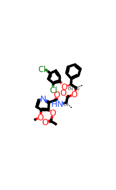 COc1ccnc(C(=O)N[C@@H](C)C(=O)O[C@@H](C)[C@@H](Oc2ccc(Cl)cc2Cl)c2ccccc2)c1OC(C)=O